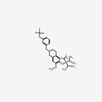 COc1cc2c(cc1O[Si](C(C)C)(C(C)C)C(C)C)CCN(Cc1cccc(OC(F)(F)F)c1)C2